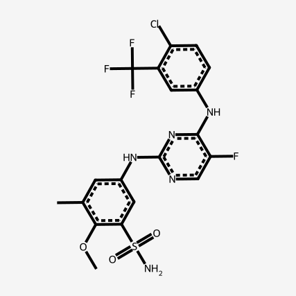 COc1c(C)cc(Nc2ncc(F)c(Nc3ccc(Cl)c(C(F)(F)F)c3)n2)cc1S(N)(=O)=O